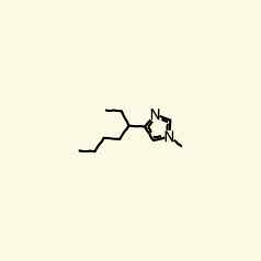 CCCCC(CC)c1cn(C)cn1